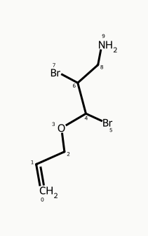 C=CCOC(Br)C(Br)CN